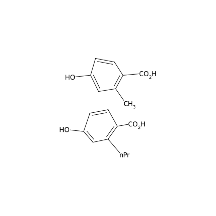 CCCc1cc(O)ccc1C(=O)O.Cc1cc(O)ccc1C(=O)O